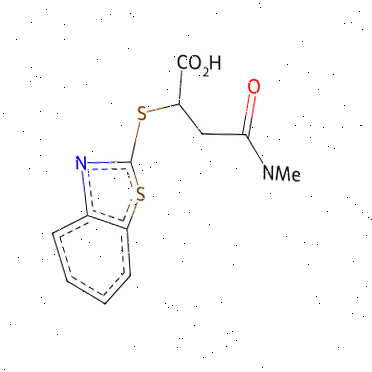 CNC(=O)CC(Sc1nc2ccccc2s1)C(=O)O